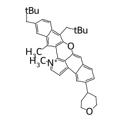 Cc1c2c(c(CC(C)(C)C)c3ccc(CC(C)(C)C)cc13)Oc1cc3ccc(C4CCOCC4)cc3c3cc[n+](C)c-2c13